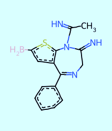 Bc1cc2c(s1)N(C(C)=N)C(=N)CN=C2c1ccccc1